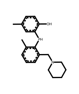 Cc1ccc(O)c(Pc2c(C)cccc2CN2CCCCC2)c1